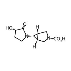 O=C(O)N1C[C@@H]2[C@H](C1)[C@H]2N1CC[C@@H](O)C1=O